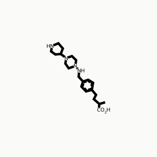 CC(CCc1ccc(CNN2CCN(C3CCNCC3)CC2)cc1)C(=O)O